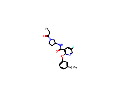 CSc1cccc(Oc2ncc(F)cc2C(=O)NC2CCN(C(=O)CC(C)C)C2)c1